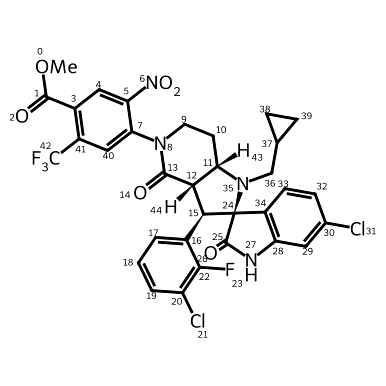 COC(=O)c1cc([N+](=O)[O-])c(N2CC[C@H]3[C@@H](C2=O)[C@H](c2cccc(Cl)c2F)[C@]2(C(=O)Nc4cc(Cl)ccc42)N3CC2CC2)cc1C(F)(F)F